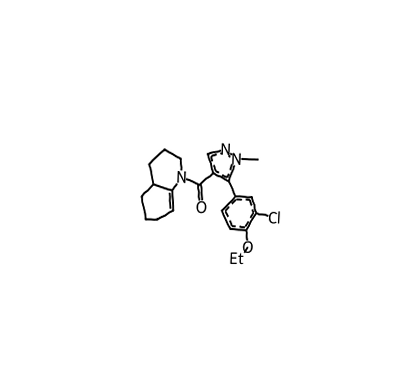 CCOc1ccc(-c2c(C(=O)N3CCCC4CCCC=C43)cnn2C)cc1Cl